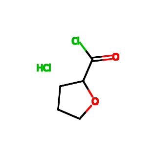 Cl.O=C(Cl)C1CCCO1